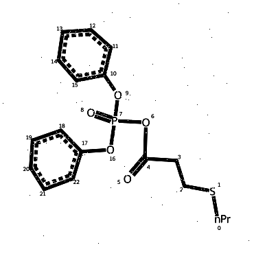 CCCSCCC(=O)OP(=O)(Oc1ccccc1)Oc1ccccc1